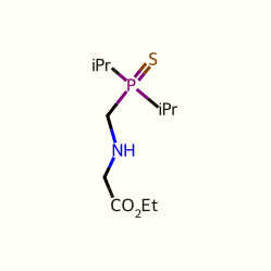 CCOC(=O)CNCP(=S)(C(C)C)C(C)C